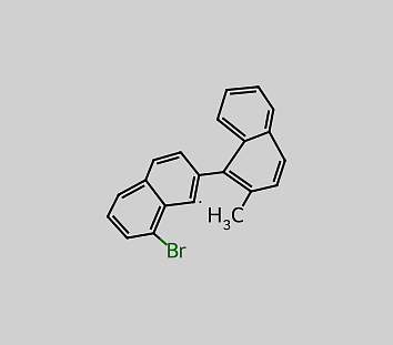 Cc1ccc2ccccc2c1-c1[c]c2c(Br)cccc2cc1